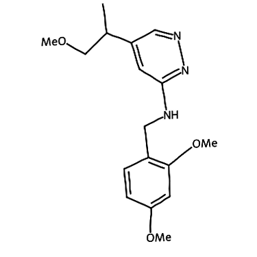 COCC(C)c1cnnc(NCc2ccc(OC)cc2OC)c1